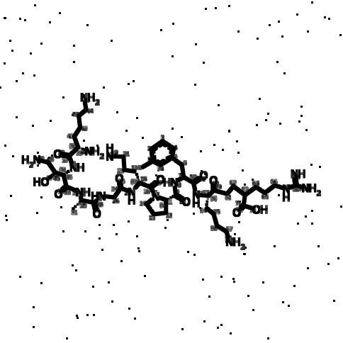 Cc1cccc(CC(NC(=O)[C@@H]2CCCN2C(=O)[C@@H](CCCN)NC(=O)CNC(=O)[C@H](C)NC(=O)[C@@H](NC(=O)[C@@H](N)CCCCN)[C@@H](O)CN)C(=O)N[C@@H](CCCCN)C(=O)CCC(CCCNC(=N)N)C(=O)O)c1